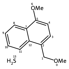 COCc1ccc(OC)c2ccccc12.S